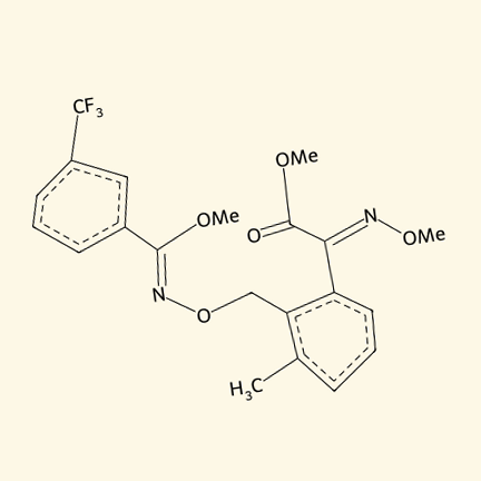 CO/N=C(/C(=O)OC)c1cccc(C)c1CO/N=C(\OC)c1cccc(C(F)(F)F)c1